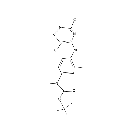 Cc1cc(N(C)C(=O)OC(C)(C)C)ccc1Nc1nc(Cl)ncc1Cl